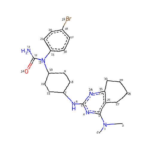 CN(C)c1nc(NC2CCC(N(C(N)=O)c3ccc(Br)cc3)CC2)nc2c1CCCC2